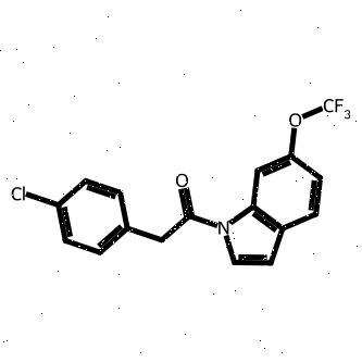 O=C(Cc1ccc(Cl)cc1)n1ccc2ccc(OC(F)(F)F)cc21